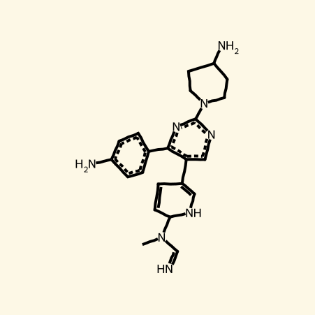 CN(C=N)C1C=CC(c2cnc(N3CCC(N)CC3)nc2-c2ccc(N)cc2)=CN1